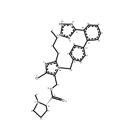 CCCCc1nc(Cl)c(COC(=O)[C@@H]2CCCN2C)n1Cc1ccc(-c2ccccc2-c2nn[nH]n2)cc1